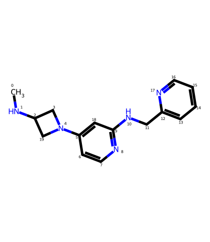 CNC1CN(c2ccnc(NCc3ccccn3)c2)C1